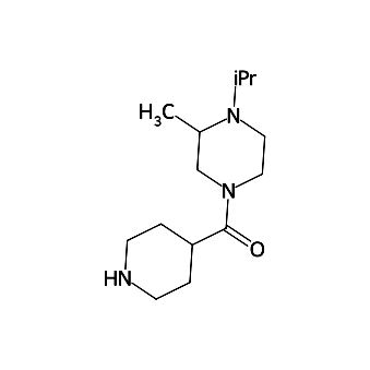 CC(C)N1CCN(C(=O)C2CCNCC2)CC1C